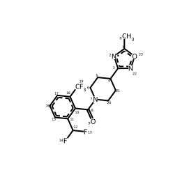 Cc1nc(C2CCN(C(=O)c3c(C(F)F)c[c]cc3C(F)(F)F)CC2)no1